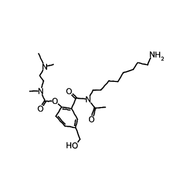 CC(=O)N(CCCCCCCCN)C(=O)c1cc(CO)ccc1OC(=O)N(C)CCN(C)C